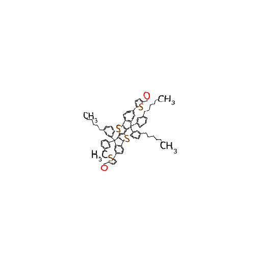 CCCCCCc1cccc(C2(c3cccc(C)c3)c3cc(-c4ccc(C=O)s4)ccc3-c3sc4c5c(sc4c32)-c2ccc(-c3ccc(C=O)s3)cc2C5(c2cccc(CCCCCC)c2)c2cccc(CCCCCC)c2)c1